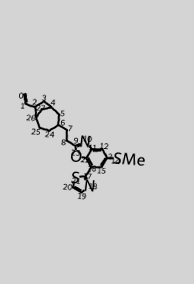 C=CC1CC2CC(CCc3nc4cc(SC)cc(-c5nccs5)c4o3)CCC1C2